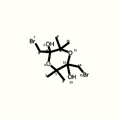 CC1(C)OC(O)(CBr)C(C)(C)OC1(O)CBr